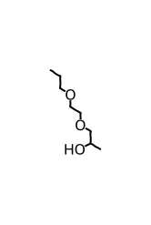 CCCOCCOCC(C)O